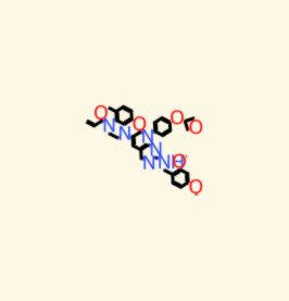 C=CC(=O)N1CCN(c2cc3cnc(NCc4ccc(OC)cc4OC)nc3n(-c3ccc(OC4COC4)cc3)c2=O)c2cccc(C)c21